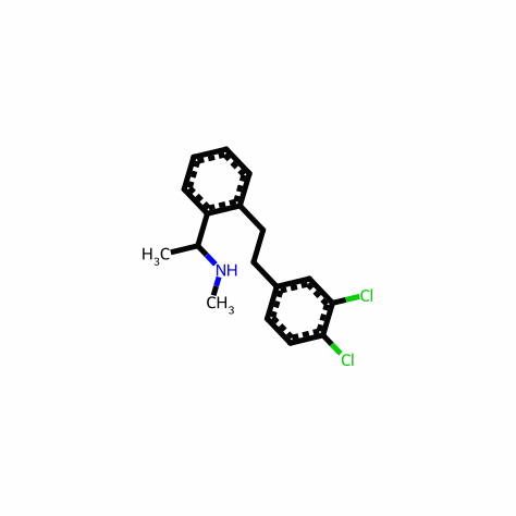 CNC(C)c1ccccc1CCc1ccc(Cl)c(Cl)c1